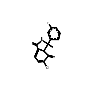 CC1(c2cccc(F)c2)NC(=O)C2=CC=C(Cl)C(=O)C21